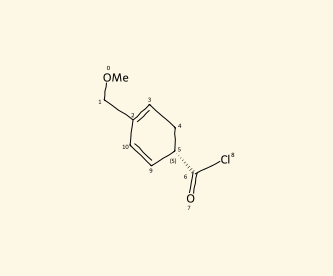 COCC1=CC[C@H](C(=O)Cl)C=C1